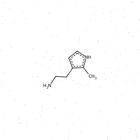 Cc1[nH]ccc1CCN